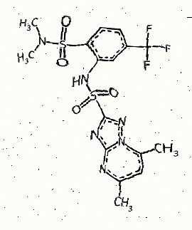 Cc1cc(C)n2nc(S(=O)(=O)Nc3cc(C(F)(F)F)ccc3S(=O)(=O)N(C)C)nc2n1